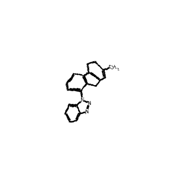 CC1=CC2=C(CC1)c1cccc(-n3nnc4ccccc43)c1C2